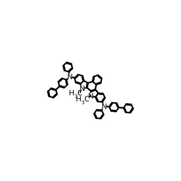 Cn1c2cc(N(c3ccccc3)c3ccc(-c4ccccc4)cc3)ccc2c2c3ccccc3c3c4ccc(N(c5ccccc5)c5ccc(-c6ccccc6)cc5)cc4n(C)c3c21